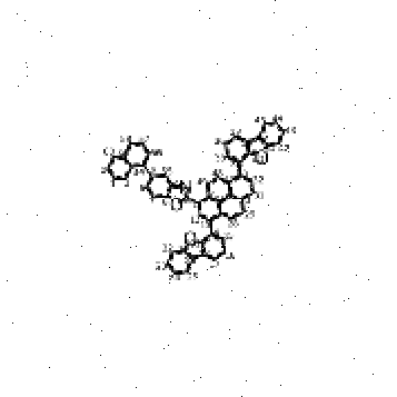 c1ccc2c(-c3ccc4oc(-c5cc(-c6cccc7c6oc6ccccc67)c6ccc7ccc(-c8cccc9c8oc8ccccc89)c8ccc5c6c78)nc4c3)cccc2c1